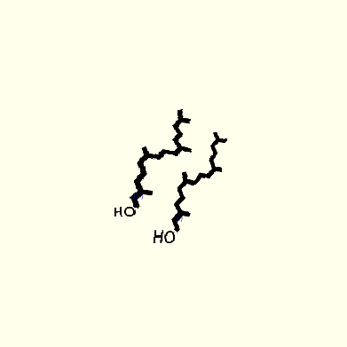 C/C(=C\CO)CCCC(C)CCCC(C)CCCC(C)C.C/C(=C\CO)CCCC(C)CCCC(C)CCCC(C)C